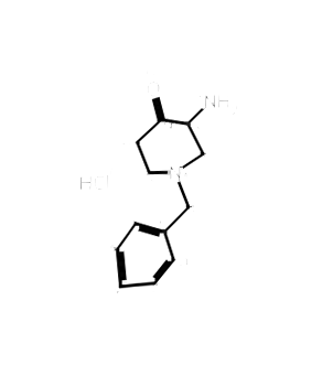 Cl.NC1CN(Cc2ccccc2)CCC1=O